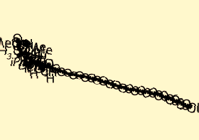 C#CC(=O)N(CCC(=O)NCCOCCOCCOCCOCCOCCOCCOCCOCCOCCOCCOCCOCCOCCOCCOCCOCCOCCOCCOCCOCCOCCOCCOCCO)CCC(=O)N[C@@H](C)C(=O)N(C)[C@H](C(=O)N[C@H](C(=O)N(C)[C@@H]([C@@H](C)CC)[C@@H](CC(=O)N1CCC[C@H]1[C@H](OC)[C@@H](C)C(=O)N[C@@H](Cc1ccccc1)C(=O)OC)OC)C(C)C)C(C)C